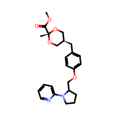 COC(=O)[C@]1(C)OC[C@@H](Cc2ccc(OCC3CCCN3c3ccccn3)cc2)CO1